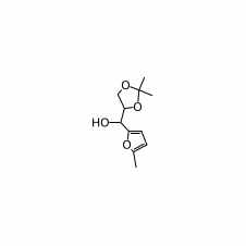 Cc1ccc(C(O)C2COC(C)(C)O2)o1